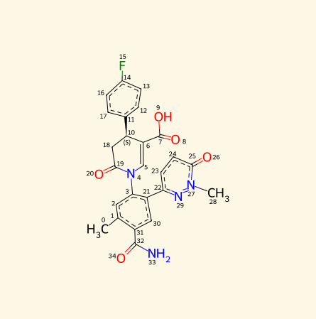 Cc1cc(N2C=C(C(=O)O)[C@H](c3ccc(F)cc3)CC2=O)c(-c2ccc(=O)n(C)n2)cc1C(N)=O